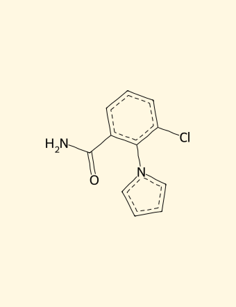 NC(=O)c1cccc(Cl)c1-n1cccc1